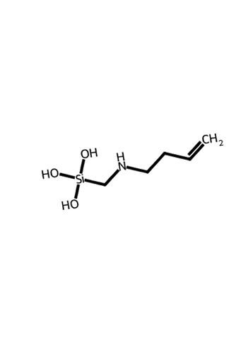 C=CCCNC[Si](O)(O)O